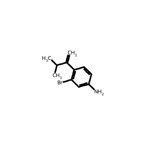 C=C(c1ccc(N)cc1Br)C(C)C